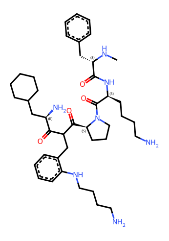 CN[C@@H](Cc1ccccc1)C(=O)N[C@@H](CCCCN)C(=O)N1CCC[C@H]1C(=O)C(Cc1ccccc1NCCCCN)C(=O)[C@H](N)CC1CCCCC1